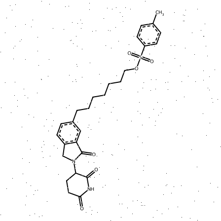 Cc1ccc(S(=O)(=O)OCCCCCCCc2ccc3c(c2)C(=O)N(C2CCC(=O)NC2=O)C3)cc1